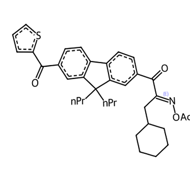 CCCC1(CCC)c2cc(C(=O)/C(CC3CCCCC3)=N/OC(C)=O)ccc2-c2ccc(C(=O)c3cccs3)cc21